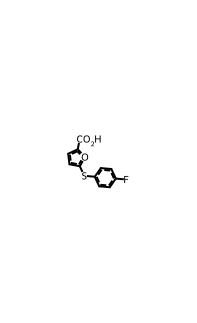 O=C(O)c1ccc(Sc2ccc(F)cc2)o1